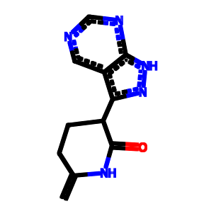 C=C1CCC(c2n[nH]c3ncncc23)C(=O)N1